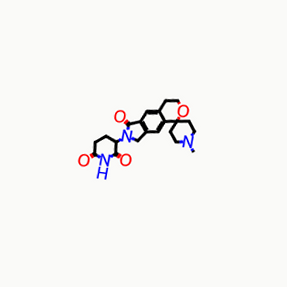 CN1CCC2(CC1)OCCc1cc3c(cc12)CN(C1CCC(=O)NC1=O)C3=O